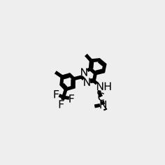 Cc1cc(-c2nc(NCCN(C)C)c3cccc(C)c3n2)cc(C(F)(F)F)c1